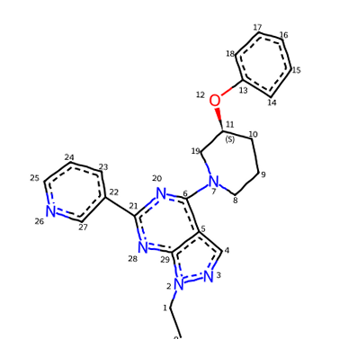 CCn1ncc2c(N3CCC[C@H](Oc4ccccc4)C3)nc(-c3cccnc3)nc21